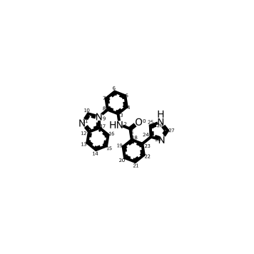 O=C(Nc1ccccc1-n1cnc2ccccc21)c1ccccc1-c1c[nH]cn1